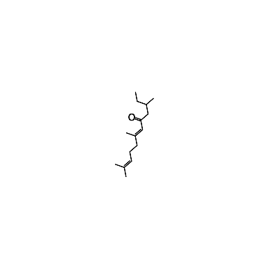 CCC(C)CC(=O)/C=C(\C)CCC=C(C)C